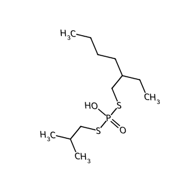 CCCCC(CC)CSP(=O)(O)SCC(C)C